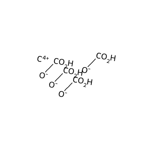 O=C([O-])O.O=C([O-])O.O=C([O-])O.O=C([O-])O.[C+4]